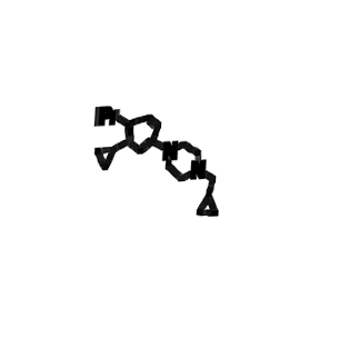 CC(C)c1ccc(N2CCN(CC3CC3)CC2)cc1C1CC1